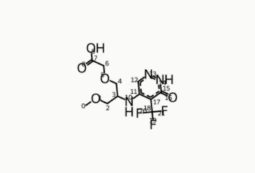 COCC(COCC(=O)O)Nc1cn[nH]c(=O)c1C(F)(F)F